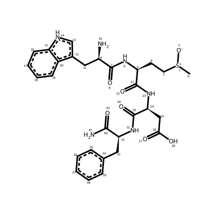 C[S+]([O-])CC[C@H](NC(=O)[C@H](N)Cc1c[nH]c2ccccc12)C(=O)N[C@@H](CC(=O)O)C(=O)N[C@@H](Cc1ccccc1)C(N)=O